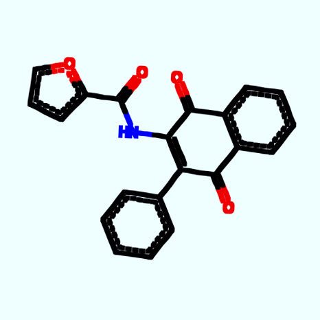 O=C(NC1=C(c2ccccc2)C(=O)c2ccccc2C1=O)c1ccco1